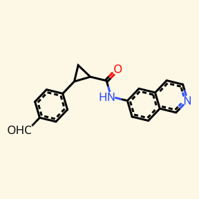 O=Cc1ccc(C2CC2C(=O)Nc2ccc3cnccc3c2)cc1